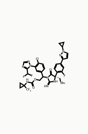 CC(C)(C)C[C@]1(c2ccc(-c3ccn(C4CC4)n3)cc2F)NC(=N)N(C(COC(=O)NC2(C(F)(F)F)CC2)c2ccc(Cl)c(-n3ncnc3C(F)F)c2)C1=O